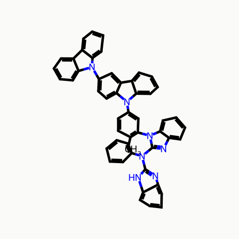 Cc1ccc(-n2c3ccccc3c3cc(-n4c5ccccc5c5ccccc54)ccc32)cc1-n1c(N(c2ccccc2)c2nc3ccccc3[nH]2)nc2ccccc21